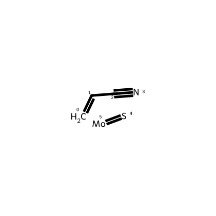 C=CC#N.[S]=[Mo]